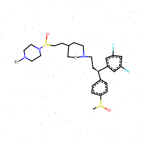 CCN1CCN([S+]([O-])CCC2CCN(CC[C@H](c3ccc([S+](C)[O-])cc3)c3cc(F)cc(F)c3)CC2)CC1